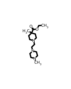 CCOC(=O)C1(C)CCN(CCN2CCN(C)CC2)CC1